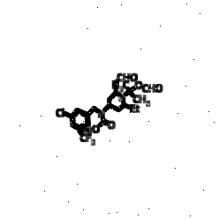 CCC1CC(N(Cc2cc(Cl)cc(C(F)(F)F)c2)C(=O)OC)CC(CC=O)N1C(C)(C)OC=O